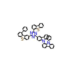 c1ccc(-c2cccc3sc4ccc(-c5nc(-c6ccc7c(c6)c6ccccc6n7-c6cccc7c8ccccc8n(-c8ccccc8)c67)nc(-c6cccc7c6sc6ccccc67)n5)cc4c23)cc1